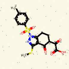 CSc1nn(S(=O)(=O)c2ccc(C)cc2)c2c1C(=O)C(C(=O)C(=O)O)CC2